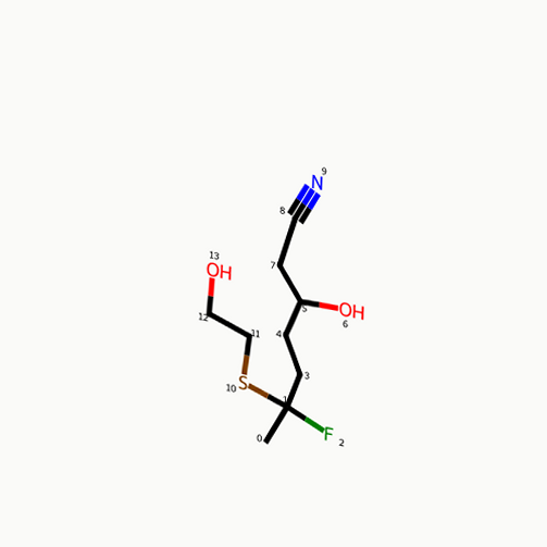 CC(F)(CCC(O)CC#N)SCCO